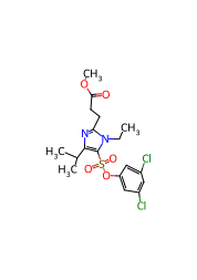 CCn1c(CCC(=O)OC)nc(C(C)C)c1S(=O)(=O)Oc1cc(Cl)cc(Cl)c1